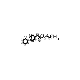 CC=CCOC(=O)N=c1ccn(-c2ccccc2)nc1